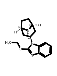 CCOc1nc2ccccc2n1[C@H]1C[C@H]2CC[C@@H](C1)N2